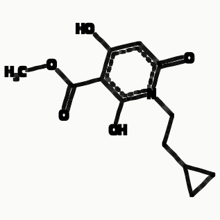 COC(=O)c1c(O)cc(=O)n(CCC2CC2)c1O